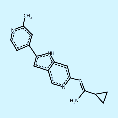 Cc1cc(-c2cc3cnc(N=C(N)C4CC4)cc3[nH]2)ccn1